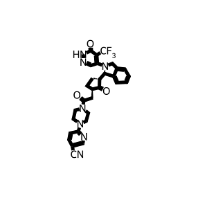 N#Cc1ccc(N2CCN(C(=O)C[C@H]3CC[C@H]([C@H]4c5ccccc5CN4c4cn[nH]c(=O)c4C(F)(F)F)C3=O)CC2)nc1